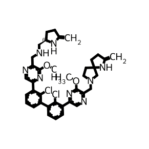 C=C1CC[C@H](CNCc2ncc(-c3cccc(-c4cccc(-c5cnc(CN6CCC7(CCC(=C)N7)C6)c(OC)n5)c4Cl)c3Cl)nc2OC)N1